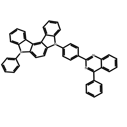 c1ccc(-c2nc(-c3ccc(-n4c5ccccc5c5c6c7ccccc7n(-c7ccccc7)c6ccc54)cc3)nc3ccccc23)cc1